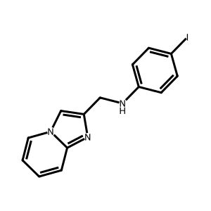 Ic1ccc(NCc2cn3ccccc3n2)cc1